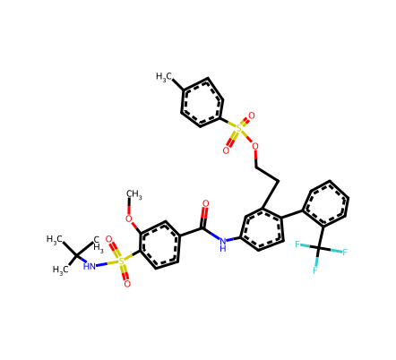 COc1cc(C(=O)Nc2ccc(-c3ccccc3C(F)(F)F)c(CCOS(=O)(=O)c3ccc(C)cc3)c2)ccc1S(=O)(=O)NC(C)(C)C